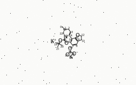 C[C@H]1CC=C(c2cccc3c2OCC3)N(C(=O)OC(C)(C)C)C1.O=C([O-])[O-].[K+].[K+]